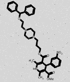 COC(=O)C1=C(C)NC(C)=C(C(=O)OCCCN2CCN(CCOC(c3ccccc3)c3ccccc3)CC2)C1c1cccc([N+](=O)[O-])c1